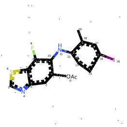 CC(=O)Oc1cc2ncsc2c(F)c1Nc1ccc(I)cc1C